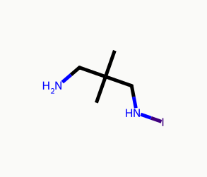 CC(C)(CN)CNI